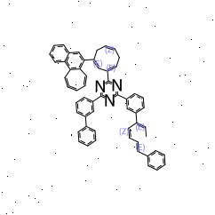 C\C=C(/C=C\C=C\c1ccccc1)c1cccc(-c2nc(C3=C/C/C=C\C/C(c4cc5ccccc5c5c4C=CC=C=C5)=C\3)nc(-c3cccc(-c4ccccc4)c3)n2)c1